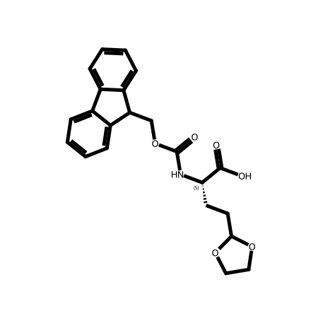 O=C(N[C@@H](CCC1OCCO1)C(=O)O)OCC1c2ccccc2-c2ccccc21